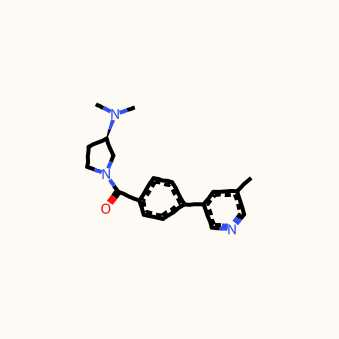 Cc1cncc(-c2ccc(C(=O)N3CC[C@@H](N(C)C)C3)cc2)c1